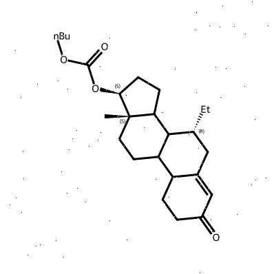 CCCCOC(=O)O[C@H]1CCC2C3C(CC[C@@]21C)C1CCC(=O)C=C1C[C@H]3CC